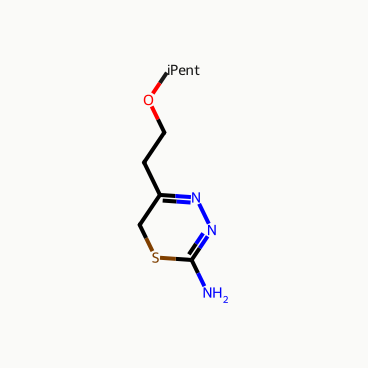 CCCC(C)OCCC1=NN=C(N)SC1